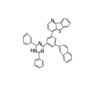 c1ccc(C2=NC(c3cc(-c4ccc5ccccc5c4)cc(-c4ccnc5c4sc4ccccc45)c3)=NC(c3ccccc3)N2)cc1